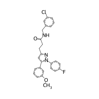 COc1cccc(-c2cc(CCC(=O)NCc3cccc(Cl)c3)nn2-c2ccc(F)cc2)c1